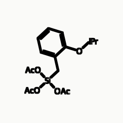 CC(=O)O[Si](Cc1ccccc1OC(C)C)(OC(C)=O)OC(C)=O